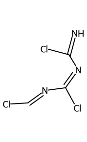 N=C(Cl)/N=C(Cl)\N=C\Cl